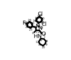 CC1C(C(=O)NC2CCCCCC2)=NN(c2ccc(Cl)cc2Cl)C1c1ccc(F)cc1